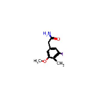 COc1cc(CC(N)=O)cc(I)c1C